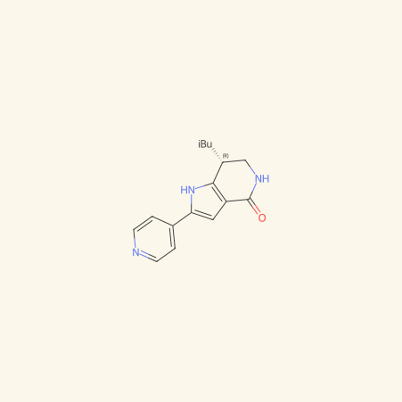 CCC(C)[C@@H]1CNC(=O)c2cc(-c3ccncc3)[nH]c21